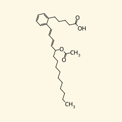 CCCCCCCCCCC(C=CC=Cc1ccccc1CCCCC(=O)O)OC(C)=O